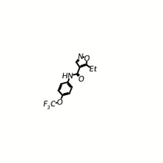 CCc1oncc1C(=O)Nc1ccc(OC(F)(F)F)cc1